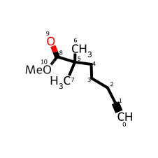 C#CCCCC(C)(C)C(=O)OC